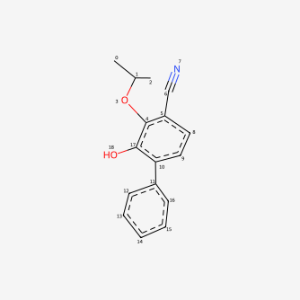 CC(C)Oc1c(C#N)ccc(-c2ccccc2)c1O